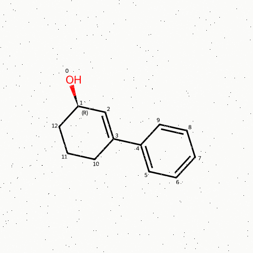 O[C@H]1C=C(c2ccccc2)CCC1